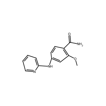 COc1cc(Nc2ccccn2)ccc1C(N)=O